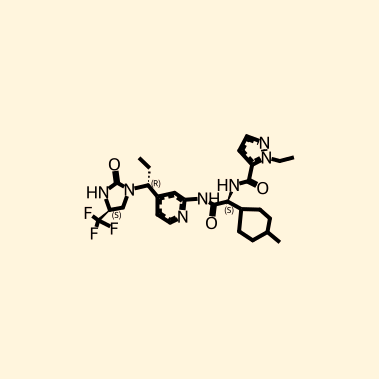 CC[C@H](c1ccnc(NC(=O)[C@@H](NC(=O)c2ccnn2CC)C2CCC(C)CC2)c1)N1C[C@@H](C(F)(F)F)NC1=O